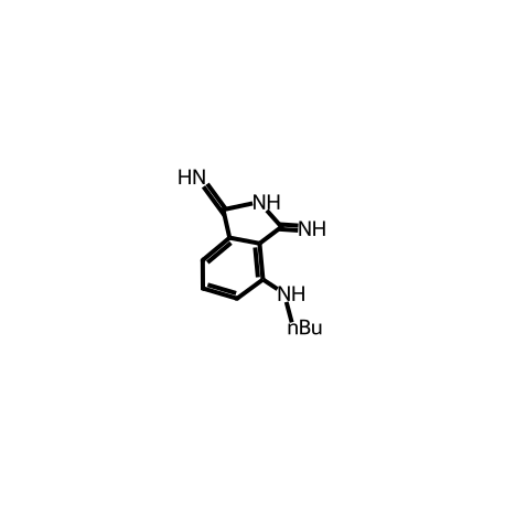 CCCCNc1cccc2c1C(=N)NC2=N